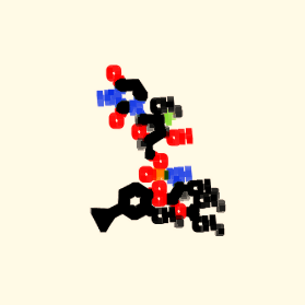 Cc1cc(C2CC2)ccc1OP(=O)(N[C@@H](C)C(=O)OC(C)C)OC[C@H]1O[C@@H](n2ccc(=O)[nH]c2=O)[C@](C)(F)[C@@H]1O